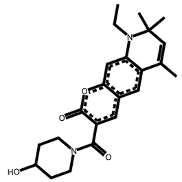 CCN1c2cc3oc(=O)c(C(=O)N4CCC(O)CC4)cc3cc2C(C)=CC1(C)C